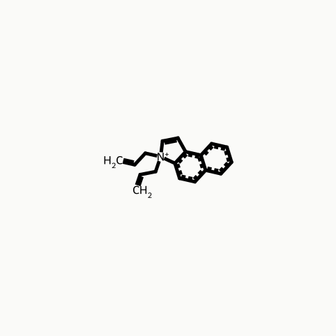 C=CC[N+]1(CC=C)C=Cc2c1ccc1ccccc21